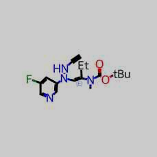 C#CNN(/C=C(\CC)N(C)C(=O)OC(C)(C)C)c1cncc(F)c1